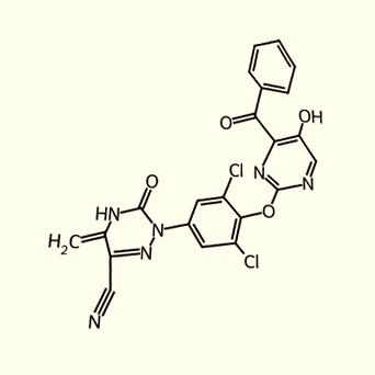 C=C1NC(=O)N(c2cc(Cl)c(Oc3ncc(O)c(C(=O)c4ccccc4)n3)c(Cl)c2)N=C1C#N